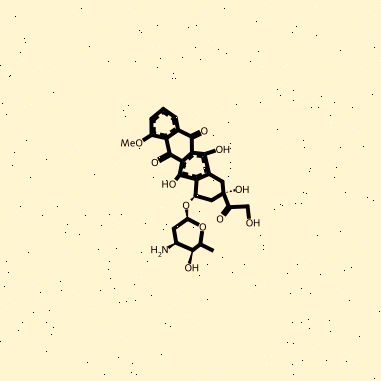 COc1cccc2c1C(=O)c1c(O)c3c(c(O)c1C2=O)C[C@@](O)(C(=O)CO)C[C@@H]3O[C@@H]1C[C@H](N)[C@H](O)C(C)O1